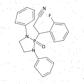 N#CCC(c1ccccc1F)P1(=O)N(c2ccccc2)CCN1c1ccccc1